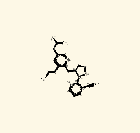 CCCc1cc(OC(C)C)cnc1CC1CC=NN1c1ncccc1C#N